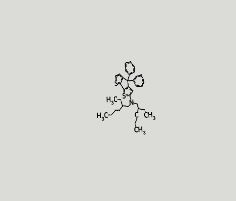 CCCCC(CC)CN(CC(CC)CCCC)c1cc2c(s1)-c1sccc1C2(c1ccccc1)c1ccccc1